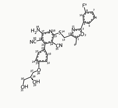 Cc1oc(-c2cccc(F)c2)nc1CSc1nc(N)c(C#N)c(-c2ccc(OC[C@@H](O)CO)cc2)c1C#N